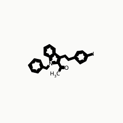 CC(=O)c1c(CCc2ccc(I)cc2)c2ccccc2n1Cc1ccccc1